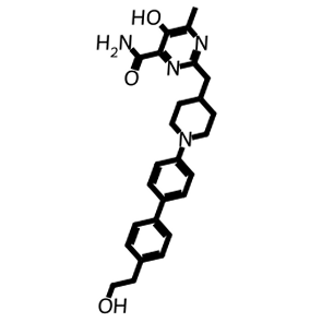 Cc1nc(CC2CCN(c3ccc(-c4ccc(CCO)cc4)cc3)CC2)nc(C(N)=O)c1O